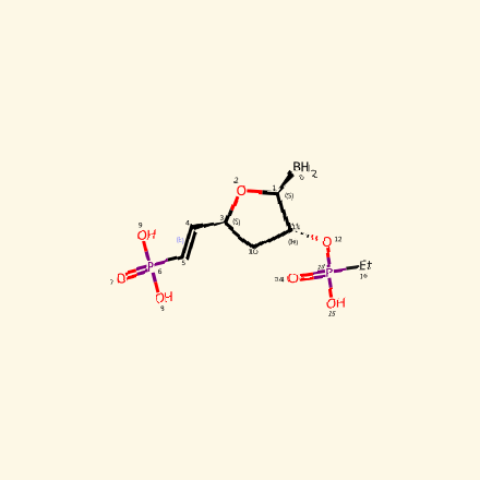 B[C@@H]1O[C@H](/C=C/P(=O)(O)O)C[C@H]1OP(=O)(O)CC